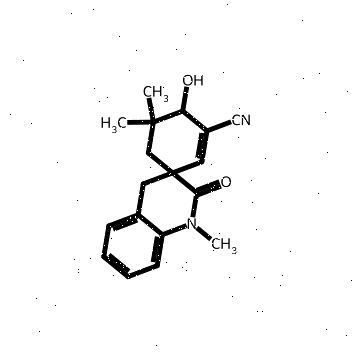 CN1C(=O)C2(C=C(C#N)C(O)C(C)(C)C2)Cc2ccccc21